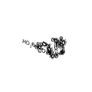 CN(c1cccc(-c2sc(C(=O)O)c(OCC(=O)O)c2Cl)c1)C1CCN(S(=O)(=O)Cc2cccc(NC(=O)CCn3cc(CNc4cccc5c4C(=O)N(C4CCC(=O)NC4=O)C5=O)nn3)c2)CC1